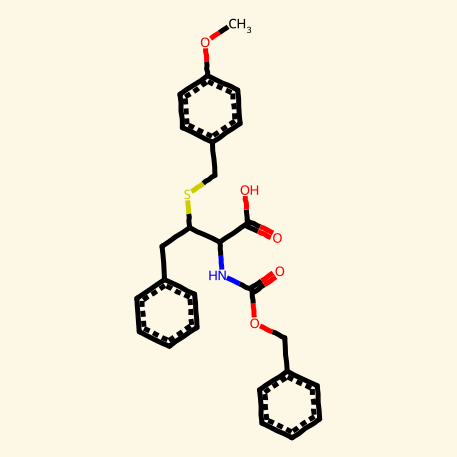 COc1ccc(CSC(Cc2ccccc2)C(NC(=O)OCc2ccccc2)C(=O)O)cc1